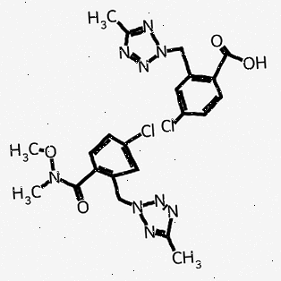 CON(C)C(=O)c1ccc(Cl)cc1Cn1nnc(C)n1.Cc1nnn(Cc2cc(Cl)ccc2C(=O)O)n1